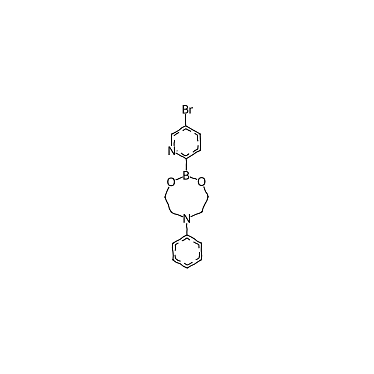 Brc1ccc(B2OCCN(c3ccccc3)CCO2)nc1